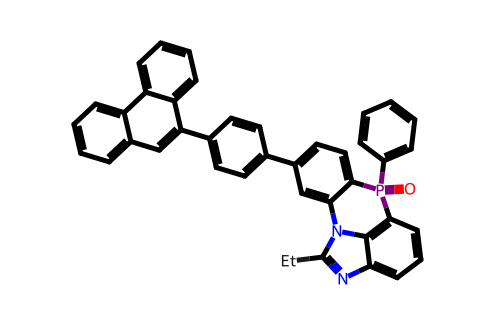 CCc1nc2cccc3c2n1-c1cc(-c2ccc(-c4cc5ccccc5c5ccccc45)cc2)ccc1P3(=O)c1ccccc1